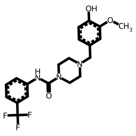 COc1cc(CN2CCN(C(=O)Nc3cccc(C(F)(F)F)c3)CC2)ccc1O